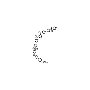 COc1ccc(-c2ccc(Oc3ccc(S(=O)(=O)c4ccc(-c5ccc(C(=O)c6cccc(C(=O)c7ccc(-c8ccc(S(=O)(=O)c9ccc(C)cc9)cc8)cc7)c6)cc5)cc4)cc3)cc2)cc1